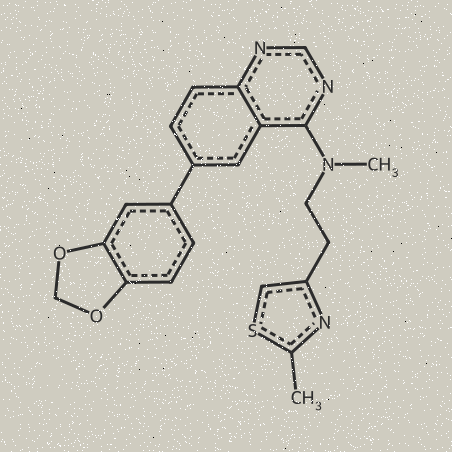 Cc1nc(CCN(C)c2ncnc3ccc(-c4ccc5c(c4)OCO5)cc23)cs1